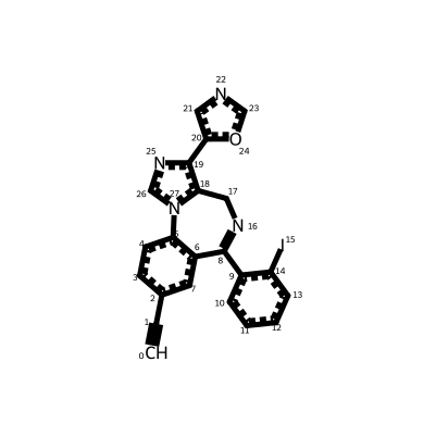 C#Cc1ccc2c(c1)C(c1ccccc1I)=NCc1c(-c3cnco3)ncn1-2